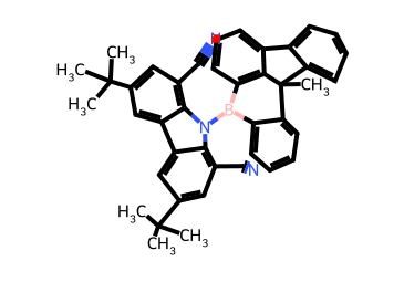 CC(C)(C)c1cc(C#N)c2c(c1)c1cc(C(C)(C)C)cc(C#N)c1n2B1c2ccccc2C2(C)c3ccccc3-c3cccc1c32